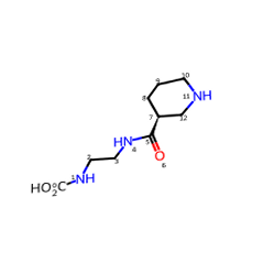 O=C(O)NCCNC(=O)[C@H]1CCCNC1